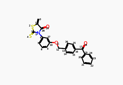 C=C1SC(=S)N(c2cccc(OCc3ccc(C(=O)c4ccccc4)cc3)c2)C1=O